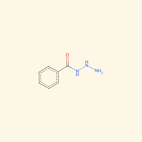 NNNC(=O)c1ccccc1